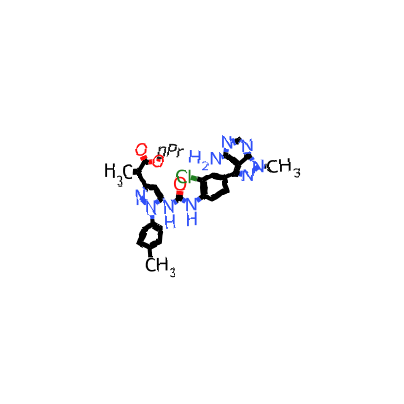 CCCOC(=O)C(C)c1cc(NC(=O)Nc2ccc(-c3nn(C)c4ncnc(N)c34)cc2Cl)n(-c2ccc(C)cc2)n1